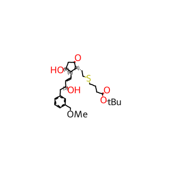 COCc1cccc(C[C@H](O)C=C[C@H]2[C@H](O)CC(=O)[C@@H]2CCSCCCC(=O)OC(C)(C)C)c1